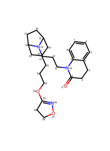 O=C1CCc2ccccc2N1CCCN1C2CCC1CC(CCCOC1=NOCC1)C2